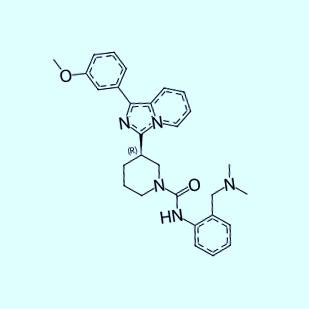 COc1cccc(-c2nc([C@@H]3CCCN(C(=O)Nc4ccccc4CN(C)C)C3)n3ccccc23)c1